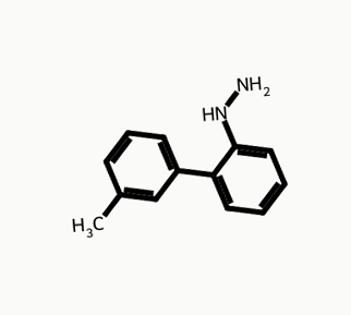 Cc1cccc(-c2ccccc2NN)c1